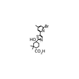 Cc1cc(Br)nc(-c2cnc([C@@]3(O)CC[C@H](C(=O)O)C(C)(C)C3)s2)c1